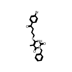 Cc1c(SCCCC(=O)c2ccc(Br)cc2)[nH]c(=O)n(Cc2ccccc2)c1=O